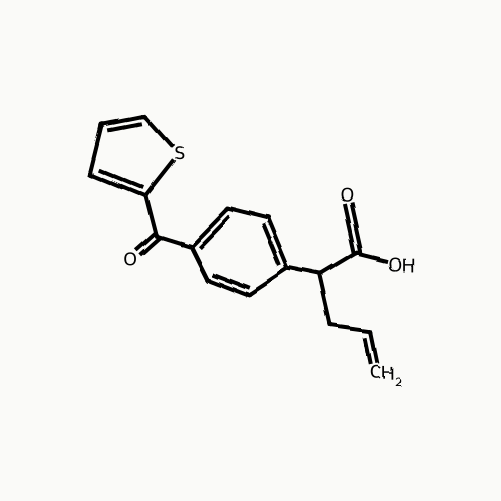 C=CCC(C(=O)O)c1ccc(C(=O)c2cccs2)cc1